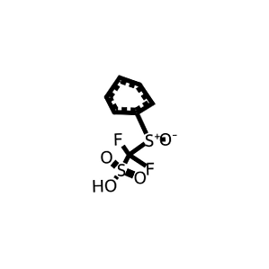 O=S(=O)(O)C(F)(F)[S+]([O-])c1ccccc1